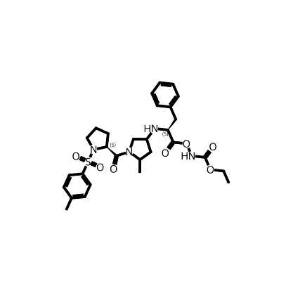 CCOC(=O)NOC(=O)[C@H](Cc1ccccc1)NC1CC(C)N(C(=O)[C@@H]2CCCN2S(=O)(=O)c2ccc(C)cc2)C1